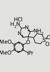 COc1cc(OC2(C3CCS(=O)(=O)CC3)C=NC(N)N=C2N)c(C(C)C)cc1OC.Cl